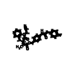 CN(C(=O)OCc1ccc(NC(=O)Cc2ccc(F)cc2)cc1)[C@@H](Cc1cccnc1)C(=O)OCC#N